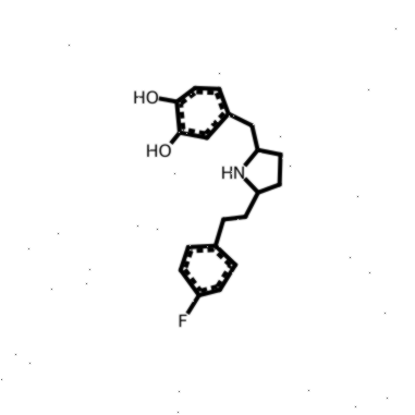 Oc1ccc(CC2CCC(CCc3ccc(F)cc3)N2)cc1O